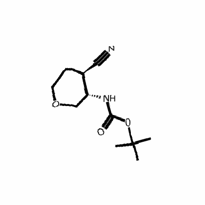 CC(C)(C)OC(=O)N[C@@H]1COCC[C@H]1C#N